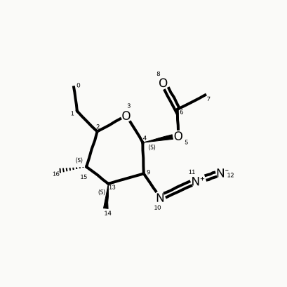 CCC1O[C@@H](OC(C)=O)C(N=[N+]=[N-])[C@@H](C)[C@@H]1C